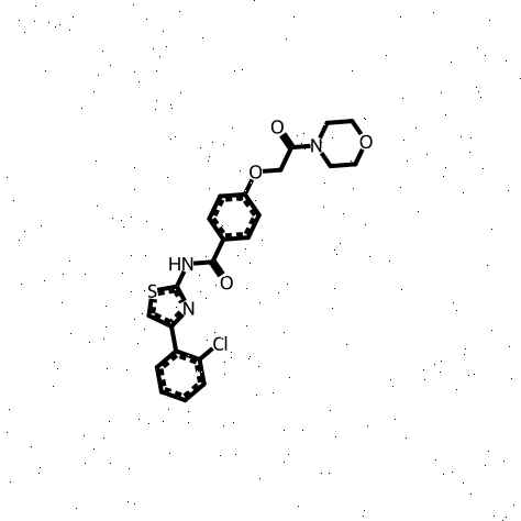 O=C(Nc1nc(-c2ccccc2Cl)cs1)c1ccc(OCC(=O)N2CCOCC2)cc1